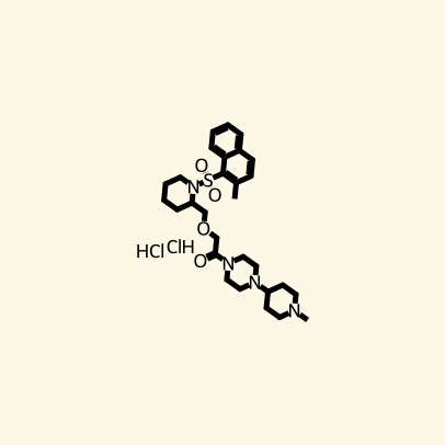 Cc1ccc2ccccc2c1S(=O)(=O)N1CCCCC1COCC(=O)N1CCN(C2CCN(C)CC2)CC1.Cl.Cl